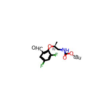 C[C@@H](CNC(=O)OC(C)(C)C)Oc1c(F)cc(F)cc1C=O